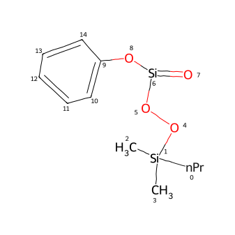 CCC[Si](C)(C)OO[Si](=O)Oc1ccccc1